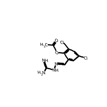 CC(=O)Oc1c(Cl)cc(Cl)cc1C=NNC(=N)N